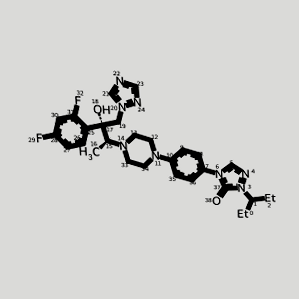 CCC(CC)n1ncn(-c2ccc(N3CCN([C@@H](C)[C@](O)(Cn4cncn4)c4ccc(F)cc4F)CC3)cc2)c1=O